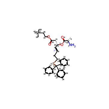 C[C@H](N)C(=O)O[C@H](/C=C/CCSC(c1ccccc1)(c1ccccc1)c1ccccc1)CC(=O)OCC[Si](C)(C)C